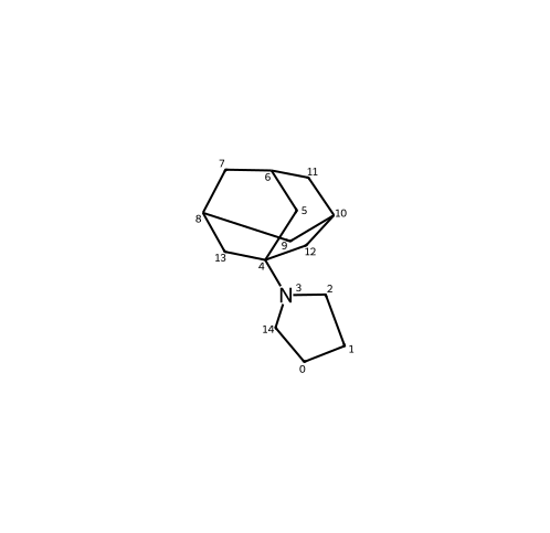 C1CCN(C23CC4CC(CC(C4)C2)C3)C1